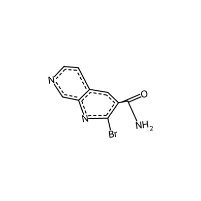 NC(=O)c1cc2ccncc2nc1Br